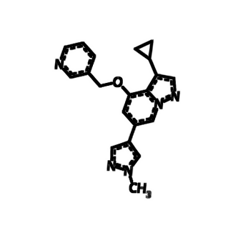 Cn1cc(-c2cc(OCc3cccnc3)c3c(C4CC4)cnn3c2)cn1